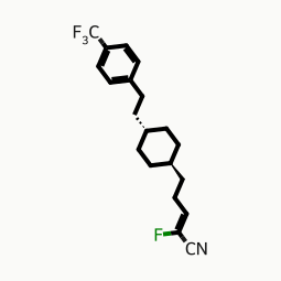 N#CC(F)=CCC[C@H]1CC[C@H](CCc2ccc(C(F)(F)F)cc2)CC1